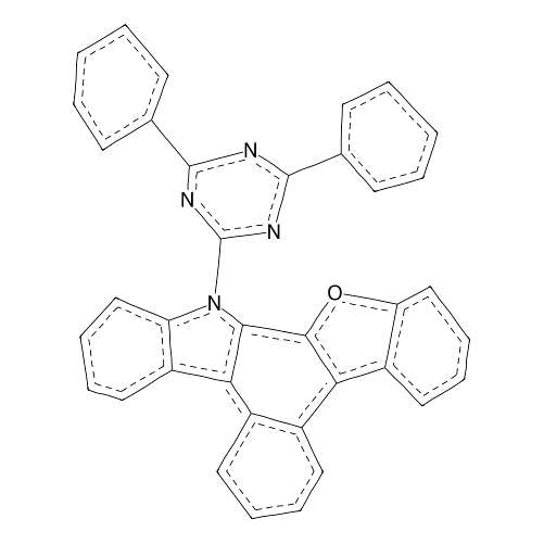 c1ccc(-c2nc(-c3ccccc3)nc(-n3c4ccccc4c4c5ccccc5c5c6ccccc6oc5c43)n2)cc1